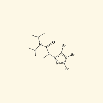 CC(C)N(C(=O)C(C)n1nc(Br)c(Br)c1Br)C(C)C